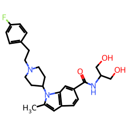 Cc1cc2ccc(C(=O)NC(CO)CO)cc2n1C1CCN(CCc2ccc(F)cc2)CC1